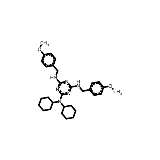 COc1ccc(CNc2nc(NCc3ccc(OC)cc3)nc(N(C3CCCCC3)C3CCCCC3)n2)cc1